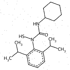 CC(C)c1cccc(C(C)C)c1N(S)C(=O)NC1CCCCC1